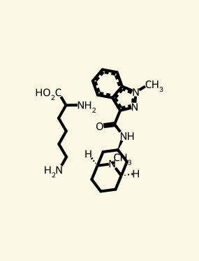 CN1[C@@H]2CCC[C@H]1C[C@@H](NC(=O)c1nn(C)c3ccccc13)C2.NCCCCC(N)C(=O)O